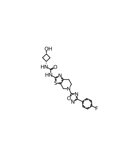 O=C(Nc1nc2c(s1)CN(c1nc(-c3ccc(F)cc3)no1)CC2)N[C@H]1C[C@H](O)C1